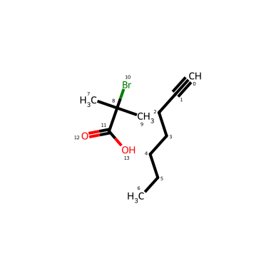 C#CCCCCC.CC(C)(Br)C(=O)O